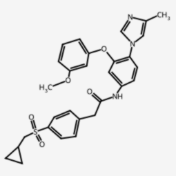 COc1cccc(Oc2cc(NC(=O)Cc3ccc(S(=O)(=O)CC4CC4)cc3)ccc2-n2cnc(C)c2)c1